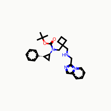 CC(C)(C)OC(=O)N(CC1(CNCc2ncc3ccccn23)CCC1)[C@H]1C[C@@H]1c1ccccc1